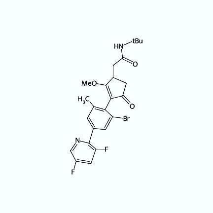 COC1=C(c2c(C)cc(-c3ncc(F)cc3F)cc2Br)C(=O)CC1CC(=O)NC(C)(C)C